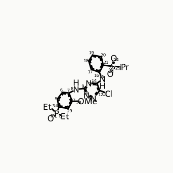 CCP(=O)(CC)c1ccc(Nc2nnc(Cl)c(Nc3ccccc3S(=O)(=O)C(C)C)n2)c(OC)c1